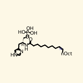 CCCCCCCC/C=C\CCCCCCCC(=O)N[C@@H](CO[PH](O)(O)O)Cc1c[nH]cn1